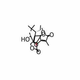 CC[C@@H](C(C)(C)C)C1([C@H](C)O)C(OC)OC23C(=O)OCC21CC1OC(=O)C(C)=C13